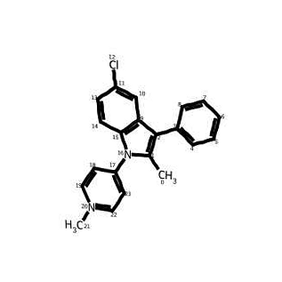 Cc1c(-c2ccccc2)c2cc(Cl)ccc2n1-c1cc[n+](C)cc1